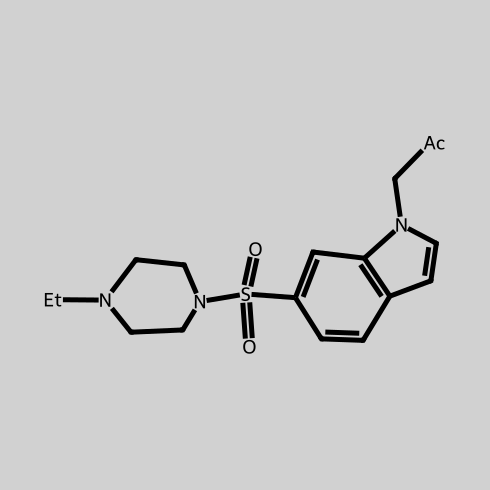 CCN1CCN(S(=O)(=O)c2ccc3ccn(CC(C)=O)c3c2)CC1